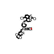 Cl.Cl.O=c1sc2ccc(Cl)c3c2n1CCC3CN1CCC(NCc2cc3c(cn2)OCCO3)CC1